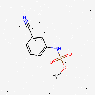 COS(=O)(=O)Nc1cccc(C#N)c1